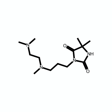 CN(C)CCN(C)CCCN1C(=O)NC(C)(C)C1=O